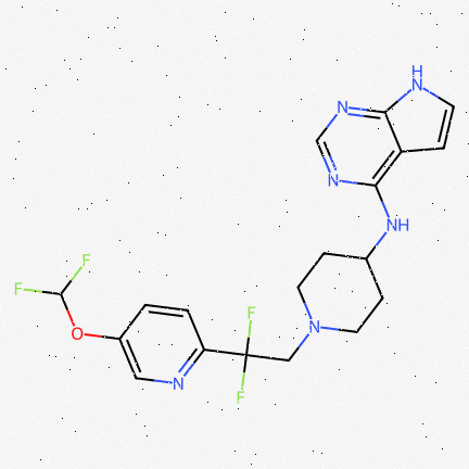 FC(F)Oc1ccc(C(F)(F)CN2CCC(Nc3ncnc4[nH]ccc34)CC2)nc1